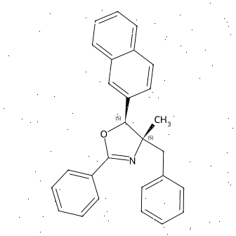 C[C@@]1(Cc2ccccc2)N=C(c2ccccc2)O[C@H]1c1ccc2ccccc2c1